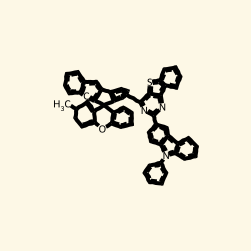 CC1C=C2C(=CC1)Oc1ccccc1C21c2cc(-c3nc(-c4ccc5c(c4)c4ccccc4n5-c4ccccc4)nc4c3sc3ccccc34)ccc2-c2cc3ccccc3cc21